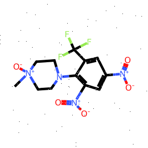 C[N+]1([O-])CCN(c2c([N+](=O)[O-])cc([N+](=O)[O-])cc2C(F)(F)F)CC1